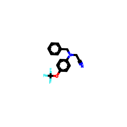 N#CCN(Cc1ccccc1)c1ccc(OC(F)(F)F)cc1